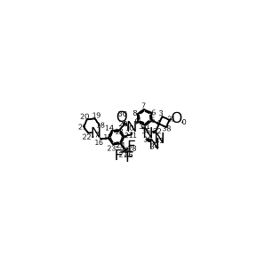 COC1CC(c2cccc(N3Cc4c(cc(CN5CCCCC5)cc4C(F)(F)F)C3=O)c2)(c2nncn2C)C1